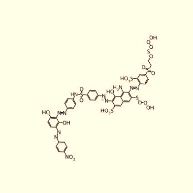 Nc1c(/N=N/c2ccc(S(=O)(=O)CCOSOOO)cc2S(=O)(=O)O)c(SOOO)cc2cc(S(=O)(=O)O)c(/N=N/c3ccc(S(=O)(=O)Nc4ccc(/N=N/c5c(O)ccc(N=Nc6ccc([N+](=O)[O-])cc6)c5O)cc4)cc3)c(O)c12